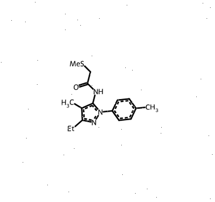 CCc1nn(-c2ccc(C)cc2)c(NC(=O)CSC)c1C